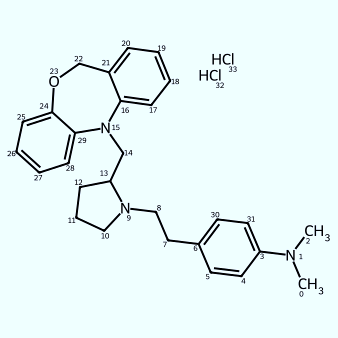 CN(C)c1ccc(CCN2CCCC2CN2c3ccccc3COc3ccccc32)cc1.Cl.Cl